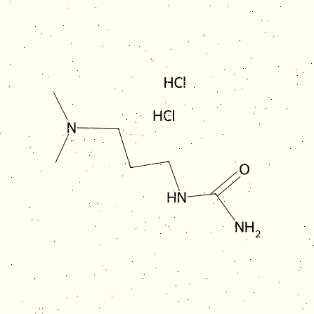 CN(C)CCCNC(N)=O.Cl.Cl